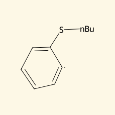 CCCCSc1[c]cccc1